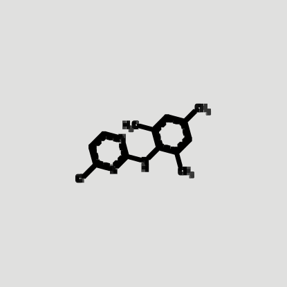 Cc1cc(C)c(Nc2nccc(Cl)n2)c(C)c1